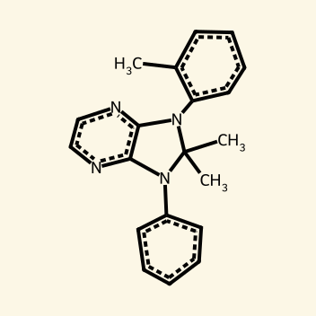 Cc1ccccc1N1c2nccnc2N(c2ccccc2)C1(C)C